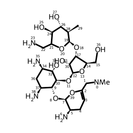 CNCC1=CC[C@@H](N)[C@@H](O[C@H]2[C@H](O[C@@H]3O[C@H](CO)[C@@H](O[C@H]4OC(CN)[C@@H](O)[C@H](O)[C@H]4C)[C@H]3O)[C@@H](O)[C@H](N)C[C@@H]2N)O1